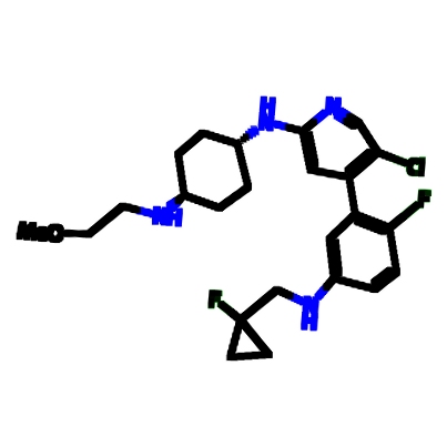 COCCN[C@H]1CC[C@H](Nc2cc(-c3cc(NCC4(F)CC4)ccc3F)c(Cl)cn2)CC1